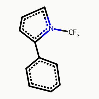 FC(F)(F)n1cccc1-c1ccccc1